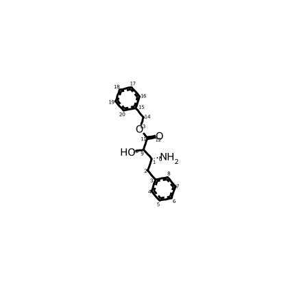 N[C@H](Cc1ccccc1)C(O)C(=O)OCc1ccccc1